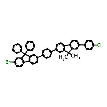 CC1(C)c2cc(-c3ccc(Cl)cc3)ccc2-c2ccc(-c3ccc(-c4ccc5c(c4)C(c4ccccc4)(c4ccccc4)c4cc(Br)ccc4-5)cc3)cc21